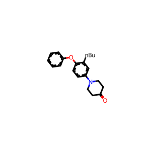 CCCCc1cc(N2CCC(=O)CC2)ccc1Oc1ccccc1